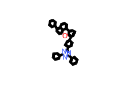 c1ccc(-c2nc(-c3ccccc3)nc(-c3ccc(-c4cccc5c4Oc4ccc(-c6ccccc6)c6cccc-5c46)cc3)n2)cc1